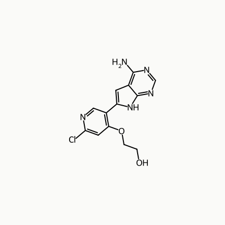 Nc1ncnc2[nH]c(-c3cnc(Cl)cc3OCCO)cc12